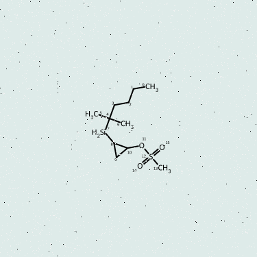 CCCCC(C)(C)[SiH2]C1CC1OS(C)(=O)=O